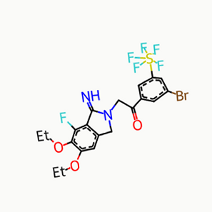 CCOc1cc2c(c(F)c1OCC)C(=N)N(CC(=O)c1cc(Br)cc(S(F)(F)(F)(F)F)c1)C2